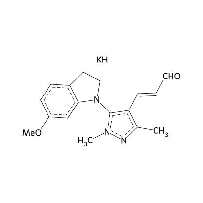 COc1ccc2c(c1)N(c1c(/C=C/C=O)c(C)nn1C)CC2.[KH]